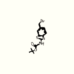 CC(C)(C)OC(=O)Nc1nc2ccc(CBr)cc2s1